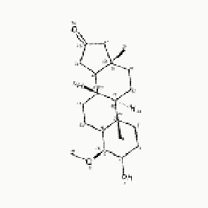 CO[C@@H]1C(O)CC[C@]2(C)C1CC[C@@H]1C3CC(=O)C[C@]3(C)CC[C@H]12